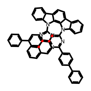 c1ccc(-c2ccc(-c3nc(-c4ccc(-c5ccccc5)cc4)nc(-n4c5ccccc5c5ccc6c7ccccc7n(-c7nc8c(ccc9ccccc98)o7)c6c54)n3)cc2)cc1